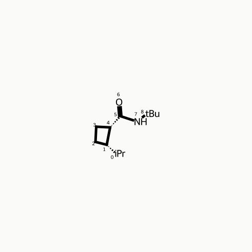 CC(C)[C@@H]1CC[C@@H]1C(=O)NC(C)(C)C